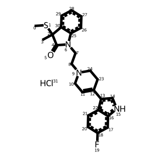 CSC1(C)C(=O)N(CCN2CC=C(c3c[nH]c4cc(F)ccc34)CC2)c2ccccc21.Cl